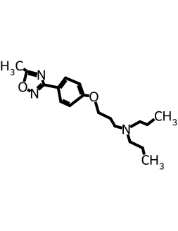 CCCN(CCC)CCCOc1ccc(-c2noc(C)n2)cc1